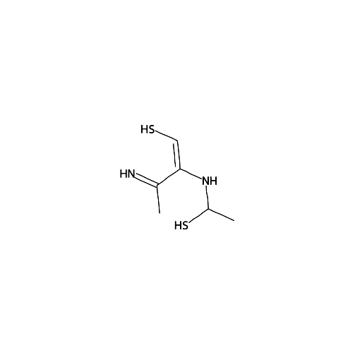 CC(=N)/C(=C\S)NC(C)S